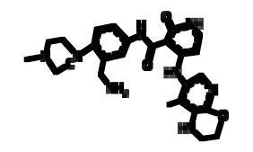 Cc1c(Nc2cc[nH]c(=O)c2C(=O)Nc2ccc(N3CCN(C)CC3)c(CN)c2)cnc2c1NCCO2